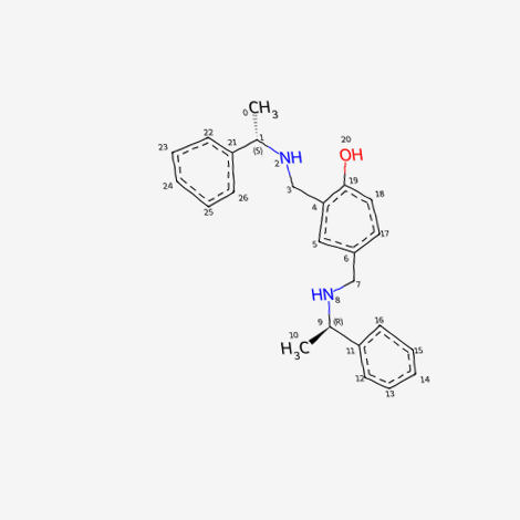 C[C@H](NCc1cc(CN[C@H](C)c2ccccc2)ccc1O)c1ccccc1